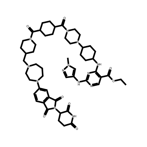 CCOC(=O)c1cnc(Nc2cnn(C)c2)nc1NC1CCC(N2CCN(C(=O)C3CCC(C(=O)N4CCC(CN5CCCN(c6ccc7c(c6)C(=O)N(C6CCC(=O)NC6=O)C7=O)CC5)CC4)CC3)CC2)CC1